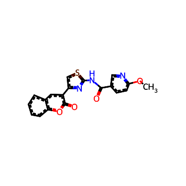 COc1ccc(C(=O)Nc2nc(-c3cc4ccccc4oc3=O)cs2)cn1